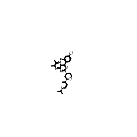 C=C(/C=C\N=C(C)C)[C@H]1C[C@@H](c2nc(-c3ccc(Cl)cc3F)c3nc(C)c(C)nc3n2)CCO1